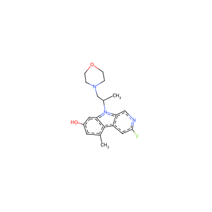 Cc1cc(O)cc2c1c1cc(F)ncc1n2C(C)CN1CCOCC1